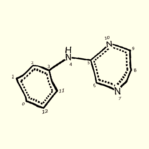 c1ccc(Nc2cnccn2)cc1